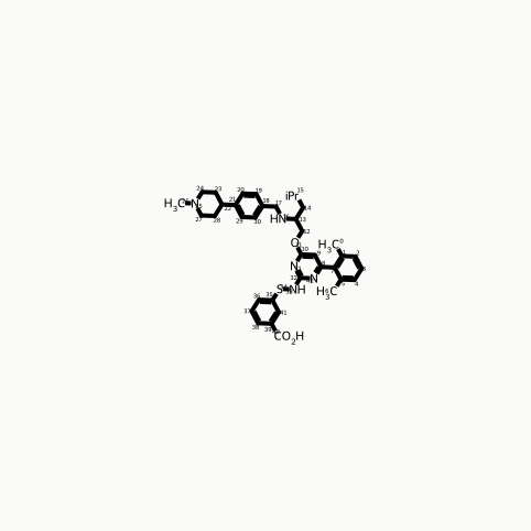 Cc1cccc(C)c1-c1cc(OCC(CC(C)C)NCc2ccc(C3CCN(C)CC3)cc2)nc(NSc2cccc(C(=O)O)c2)n1